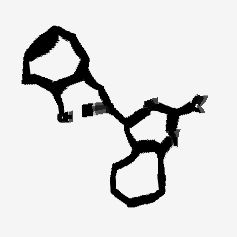 Oc1ccccc1CNc1nc(Cl)nc2c1CCCC2